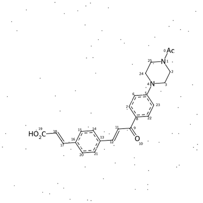 CC(=O)N1CCN(c2ccc(C(=O)C=Cc3ccc(C=CC(=O)O)cc3)cc2)CC1